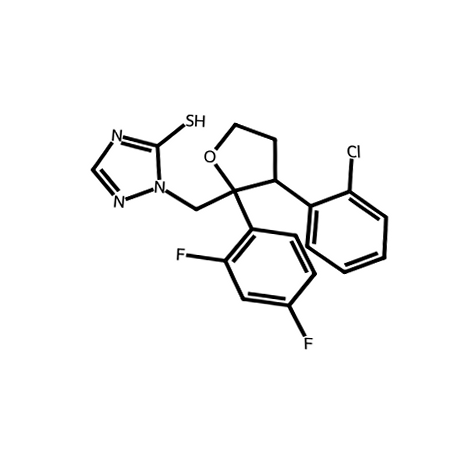 Fc1ccc(C2(Cn3ncnc3S)OCCC2c2ccccc2Cl)c(F)c1